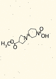 COC(=O)C1CCN([C@@H]2CCCN(C(=O)O)CC2)CC1